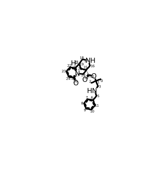 CC(C)(CNCc1ccccc1)OC(=O)[C@@]12CNC[C@@H](C1)c1cccc(=O)n1C2